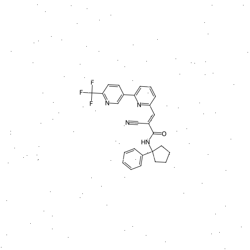 N#C/C(=C\c1cccc(-c2ccc(C(F)(F)F)nc2)n1)C(=O)NC1(c2ccccc2)CCCC1